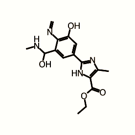 C=Nc1c(O)cc(-c2nc(C)c(C(=O)OCC)[nH]2)cc1C(O)NC